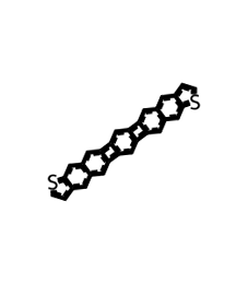 c1cc2cc3cc4c(cc3cc2s1)c1cc2c3cc5cc6ccsc6cc5cc3c2cc41